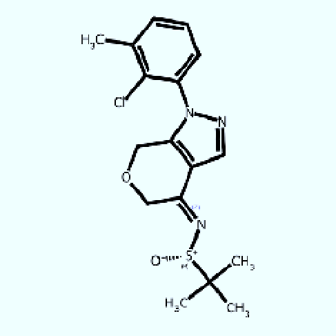 Cc1cccc(-n2ncc3c2COC/C3=N\[S@@+]([O-])C(C)(C)C)c1Cl